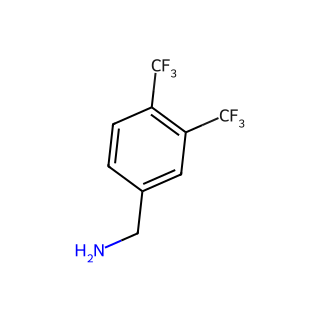 NCc1ccc(C(F)(F)F)c(C(F)(F)F)c1